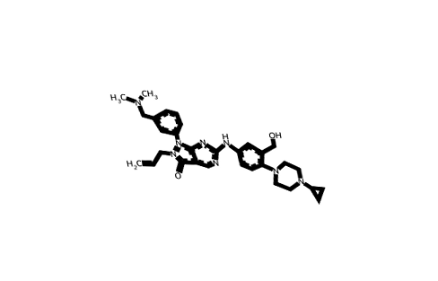 C=CCn1c(=O)c2cnc(Nc3ccc(N4CCN(C5CC5)CC4)c(CO)c3)nc2n1-c1cccc(CN(C)C)c1